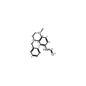 CCN(Cc1ccccc1)c1cc(NC=O)ccc1OC